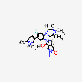 CCC(C)C1CC=C(c2cc(NC(=O)c3c[nH]c(=O)cc3C(F)(F)F)c(N3C[C@@H](C)N(C)[C@@H](C)C3)cc2F)CN1C(=O)O